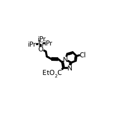 CCOC(=O)c1nc2cc(Cl)ccn2c1C#CCCO[Si](C(C)C)(C(C)C)C(C)C